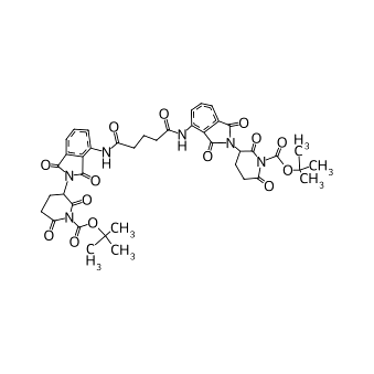 CC(C)(C)OC(=O)N1C(=O)CCC(N2C(=O)c3cccc(NC(=O)CCCC(=O)Nc4cccc5c4C(=O)N(C4CCC(=O)N(C(=O)OC(C)(C)C)C4=O)C5=O)c3C2=O)C1=O